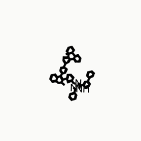 CC1Cc2ccccc2C(c2ccc(-c3ccc4c(c3)-c3ccccc3C3C=CC=CC43C)cc2)=C1c1cccc(C2=NC(c3ccccc3)NC(c3cccc(-c4ccccc4)c3)=N2)c1